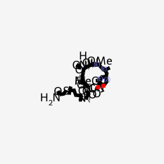 C=C(Cl)/C(=C\C1=C/CN(C)C(=O)C[C@H](OC(=O)[C@H](C)N(C)C(=O)CCC(C)(C)SCC(N)=O)[C@]2(C)O[C@H]2[C@H](C)C2C[C@@](O)(NC(=O)O2)[C@H](OC)/C=C/C=C(\C)C1)OC